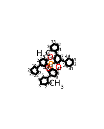 Cc1ccccc1-c1ccc2c(c1)P1(=O)c3cc(-c4ccccc4)ccc3Oc3c(-c4ccccc4C)cc(-c4ccccc4)c(c31)O2